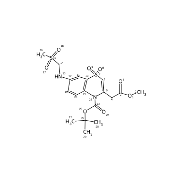 COC(=O)CC1=CS(=O)(=O)c2cc(NCS(C)(=O)=O)ccc2N1C(=O)OC(C)(C)C